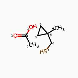 CC(=O)O.CC1(CS)CC1